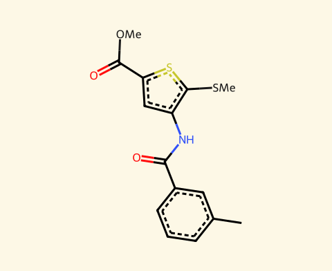 COC(=O)c1cc(NC(=O)c2cccc(C)c2)c(SC)s1